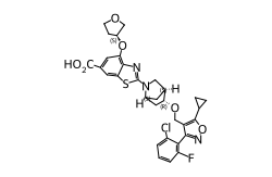 O=C(O)c1cc(O[C@H]2CCOC2)c2nc(N3C[C@@H]4C[C@H]3C[C@H]4OCc3c(-c4c(F)cccc4Cl)noc3C3CC3)sc2c1